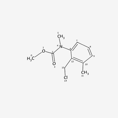 COC(=O)N(C)c1cccc(C)c1CCl